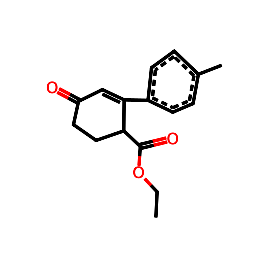 CCOC(=O)C1CCC(=O)C=C1c1ccc(C)cc1